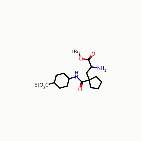 CCOC(=O)C1CCC(NC(=O)C2(CC(N)C(=O)OC(C)(C)C)CCCC2)CC1